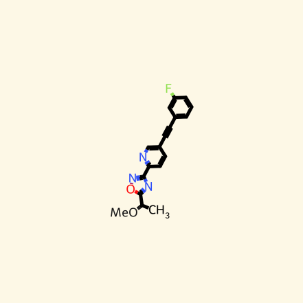 COC(C)c1nc(-c2ccc(C#Cc3cccc(F)c3)cn2)no1